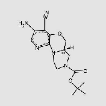 CC(C)(C)OC(=O)N1CCN2c3ncc(N)c(C#N)c3OC[C@@H]2C1